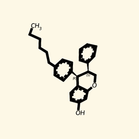 CCCCCCc1ccc([C@@H]2c3ccc(O)cc3OC[C@@H]2c2ccccc2)cc1